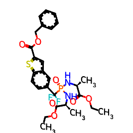 CCOC(=O)[C@H](C)NP(=O)(N[C@@H](C)C(=O)OCC)C(F)(F)c1ccc2sc(C(=O)OCc3ccccc3)cc2c1